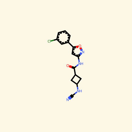 N#CNC1CC(C(=O)Nc2cc(-c3cccc(Cl)c3)on2)C1